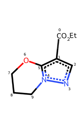 CCOC(=O)c1cnn2c1OCCC2